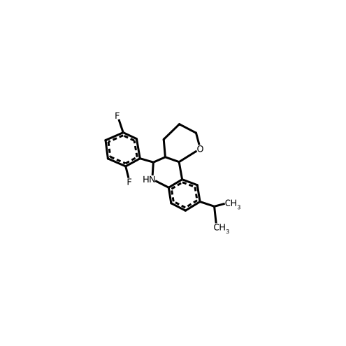 CC(C)c1ccc2c(c1)C1OCCCC1C(c1cc(F)ccc1F)N2